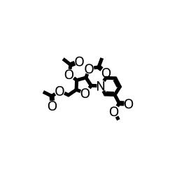 COC(=O)C1=CN(C2OC(COC(C)=O)C(OC(C)=O)C2OC(C)=O)CC=C1